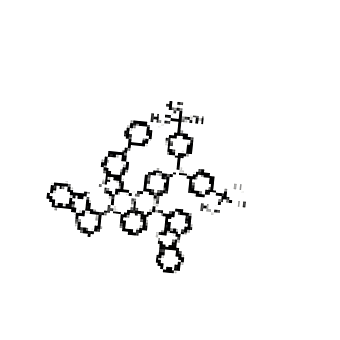 CC(C)(C)c1ccc(N(c2ccc(C(C)(C)C)cc2)c2ccc3c(c2)N(c2cccc4c2sc2ccccc24)c2cccc4c2B3c2c(sc3ccc(-c5ccccc5)cc23)N4c2cccc3c2sc2ccccc23)cc1